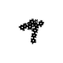 c1ccc(-c2ccc(-c3ccc(C4=NC(c5ccccc5)NC(c5cccc6oc7c(-c8ccc9ccccc9c8)cccc7c56)=N4)cc3)cc2)cc1